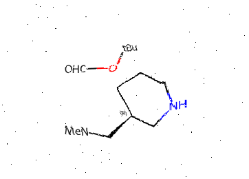 CC(C)(C)OC=O.CNC[C@H]1CCCNC1